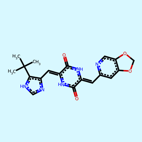 CC(C)(C)c1[nH]cnc1/C=c1\[nH]c(=O)/c(=C/c2cc3c(cn2)OCO3)[nH]c1=O